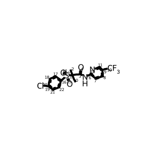 CC(C)(C(=O)Nc1ccc(C(F)(F)F)cn1)S(=O)(=O)c1ccc(Cl)cc1